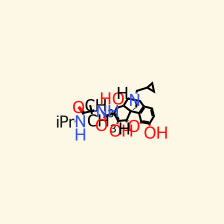 CC(C)NC(=O)C(C)(C)NC(=O)C1=C(O)[C@@H]2Oc3c(O)ccc4c3[C@@]23CCN(CC2CC2)[C@H](C4)[C@]3(O)C1